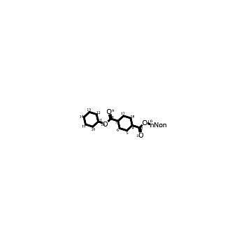 CCCCCCCCCOC(=O)C1CCC(C(=O)OC2CCCCC2)CC1